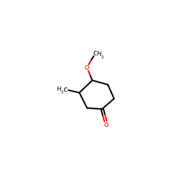 COC1CCC(=O)CC1C